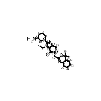 CCn1c(N2CCCC(N)C2)nc2cnn(CC3=Nc4ccccc4C(C)(C)O3)c(=O)c21